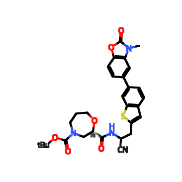 Cn1c(=O)oc2ccc(-c3ccc4cc(CC(C#N)NC(=O)[C@@H]5CN(C(=O)OC(C)(C)C)CCCO5)sc4c3)cc21